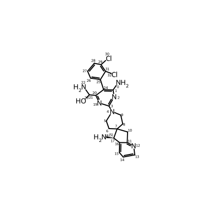 Nc1nc(N2CCC3(CC2)Cc2ncccc2[C@H]3N)nc(C(N)O)c1-c1cccc(Cl)c1Cl